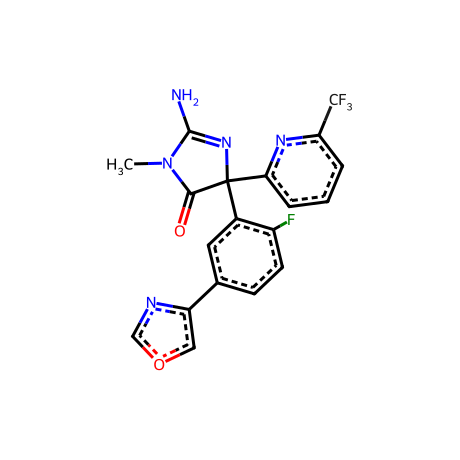 CN1C(=O)C(c2cccc(C(F)(F)F)n2)(c2cc(-c3cocn3)ccc2F)N=C1N